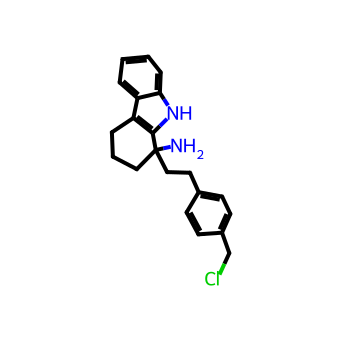 NC1(CCc2ccc(CCl)cc2)CCCc2c1[nH]c1ccccc21